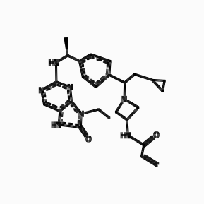 C=CC(=O)NC1CN(C(CC2CC2)c2ccc([C@H](C)Nc3ncc4[nH]c(=O)n(CC)c4n3)cc2)C1